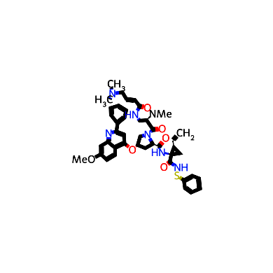 C=C[C@@H]1C[C@]1(NC(=O)[C@@H]1C[C@@H](Oc2cc(-c3ccccc3)nc3cc(OC)ccc23)CN1C(=O)[C@H](CNC(=O)/C=C/CN(C)C)NC)C(=O)NSc1ccccc1